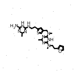 CC1N=C(N)NC(NCCc2cc(CN(C)C3=NC(C)N=C(N(C)CCc4ccco4)N3)cs2)=N1